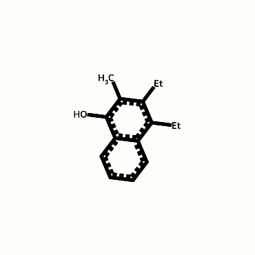 CCc1c(C)c(O)c2ccccc2c1CC